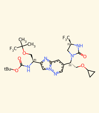 CC(C)(C)OC(=O)N[C@@H](COC(C)(C)C(F)(F)F)c1cn2ncc([C@@H](COC3CC3)N3C[C@@H](C(F)(F)F)NC3=O)cc2n1